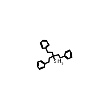 [SiH3]C(CCc1ccccc1)(CCc1ccccc1)CCc1ccccc1